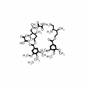 COc1cc(C(=O)OCCC(C)C(CN(C)OC(=O)C(=O)O)N(C)OC(=O)C(=O)O)cc(OC)c1OC.COc1cc(C(=O)OCCC(C)C(N)CN)cc(OC)c1OC.O